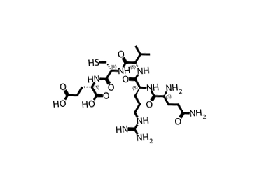 CC(C)[C@H](NC(=O)[C@H](CCCNC(=N)N)NC(=O)[C@@H](N)CCC(N)=O)C(=O)N[C@@H](CS)C(=O)N[C@@H](CCC(=O)O)C(=O)O